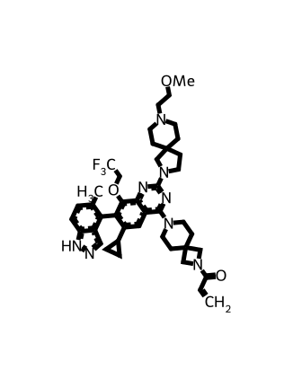 C=CC(=O)N1CC2(CCN(c3nc(N4CCC5(CCN(CCOC)CC5)C4)nc4c(OCC(F)(F)F)c(-c5c(C)ccc6[nH]ncc56)c(C5CC5)cc34)CC2)C1